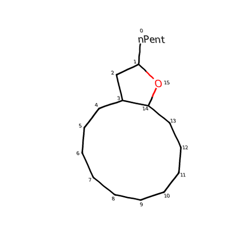 CCCCCC1CC2CCCCCCCCCCC2O1